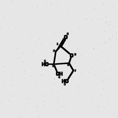 O=C1CC(O)(O)C(CO)O1